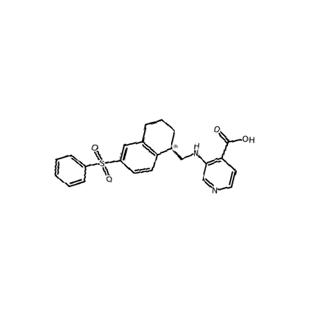 O=C(O)c1ccncc1NC[C@@H]1CCCc2cc(S(=O)(=O)c3ccccc3)ccc21